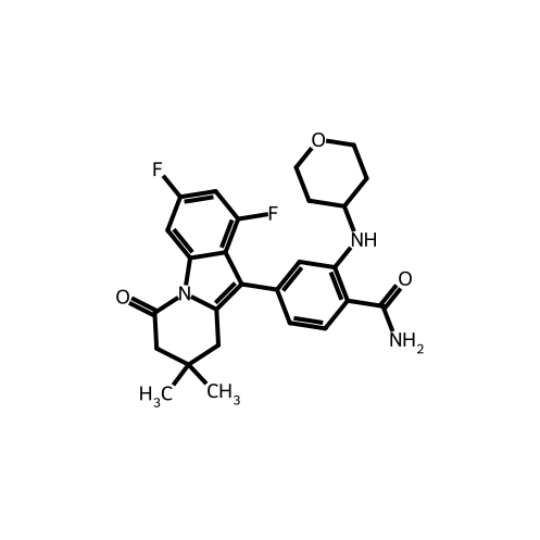 CC1(C)CC(=O)n2c(c(-c3ccc(C(N)=O)c(NC4CCOCC4)c3)c3c(F)cc(F)cc32)C1